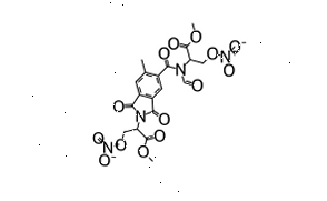 COC(=O)C(CO[N+](=O)[O-])N(C=O)C(=O)c1cc2c(cc1C)C(=O)N(C(CO[N+](=O)[O-])C(=O)OC)C2=O